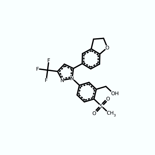 CS(=O)(=O)c1ccc(-n2nc(C(F)(F)F)cc2-c2ccc3c(c2)CCO3)cc1CO